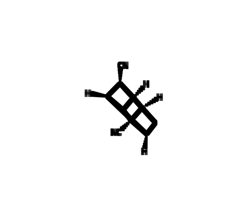 N#C[C@]12C3[C@@H]4[C@H]1C1[C@H]2[C@H]3[C@@]14C#N